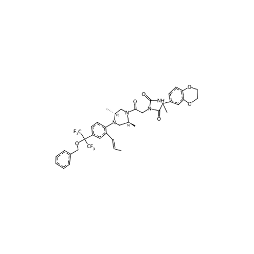 CC=Cc1cc(C(OCc2ccccc2)(C(F)(F)F)C(F)(F)F)ccc1N1C[C@H](C)N(C(=O)CN2C(=O)NC(C)(c3ccc4c(c3)OCCO4)C2=O)C[C@H]1C